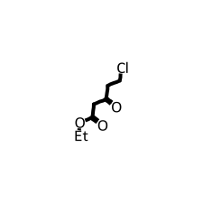 CCOC(=O)CC(=O)CCCl